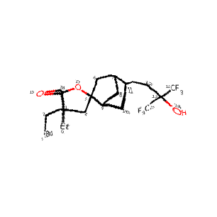 CCC1(CC(C)(C)C)CC2(CC3CC2CC3CC(O)(C(F)(F)F)C(F)(F)F)OC1=O